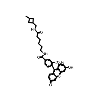 CC1CC(CNC(=O)CCCCCNC(=O)c2ccc(-c3c4ccc(=O)cc-4oc4cc(O)ccc34)c(C(=O)O)c2)C1